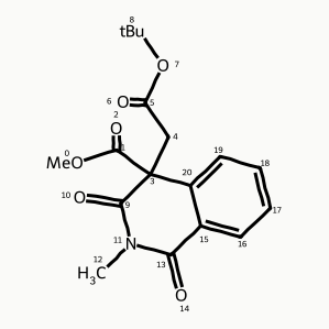 COC(=O)C1(CC(=O)OC(C)(C)C)C(=O)N(C)C(=O)c2ccccc21